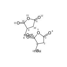 CCCCC1CC(=O)OC1=O.CCCCCCCCC1CC(=O)OC1=O